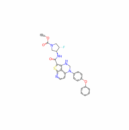 CC(C)(C)OC(=O)N1C[C@H](NC(=O)c2sc3nccc4c3c2NCN4c2ccc(Oc3ccccc3)cc2)[C@@H](F)C1